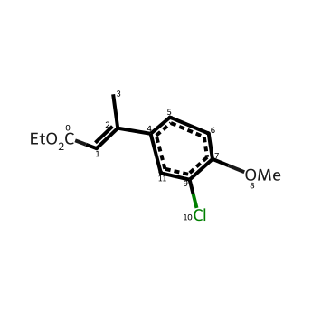 CCOC(=O)C=C(C)c1ccc(OC)c(Cl)c1